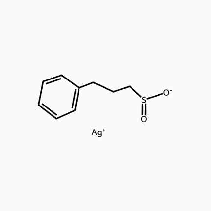 O=S([O-])CCCc1ccccc1.[Ag+]